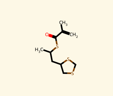 C=C(C)C(=O)SC(C)CC1CSCS1